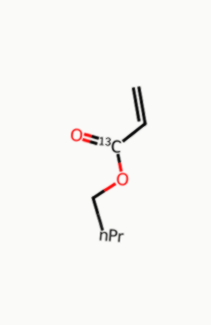 C=C[13C](=O)OCCCC